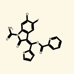 NC(=O)N1C(=O)/C(=C(/OC(=O)c2ccccn2)c2cccs2)c2cc(F)c(Cl)cc21